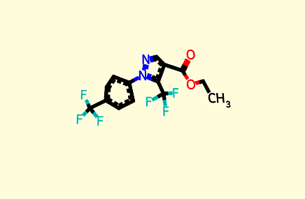 CCOC(=O)c1cnn(-c2ccc(C(F)(F)F)cc2)c1C(F)(F)F